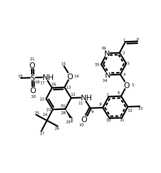 C=Cc1cc(Oc2cc(C(=O)NC3C(OC)=C(NS(C)(=O)=O)C=C(C(C)(C)C)[C@@H]3I)ccc2C)ncn1